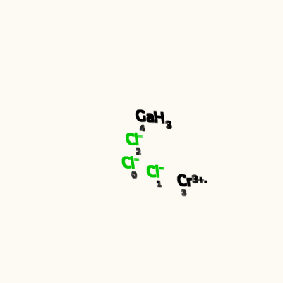 [Cl-].[Cl-].[Cl-].[Cr+3].[GaH3]